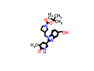 Cc1cc(-c2nc3cc(CO)ccc3n2CC2CCN(C(=O)OC(C)(C)C)C2)c[nH]c1=O